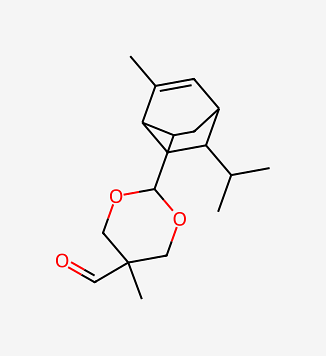 CC1=CC2CC(C3OCC(C)(C=O)CO3)C1CC2C(C)C